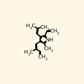 C=C/C(C)=C\c1c(C)[nH]c(C=C)c1C=C(C)C